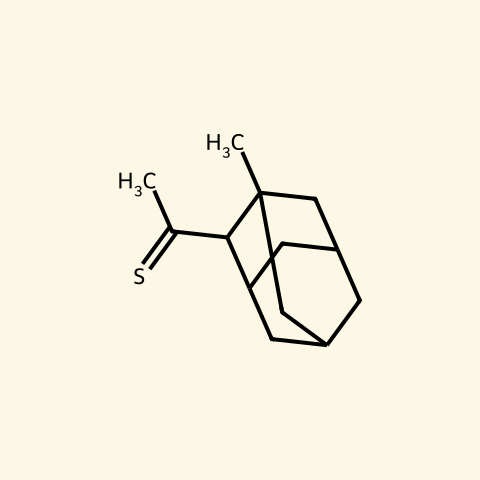 CC(=S)C1C2CC3CC(C2)CC1(C)C3